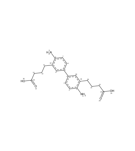 Nc1ccc(-c2ccc(N)c(CCCC(=O)O)c2)cc1CCCC(=O)O